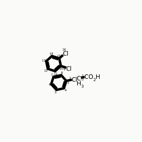 CC(=O)O.Clc1ccccc1.Clc1ccccc1Cl